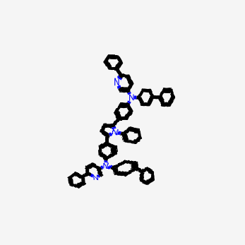 C1=CC(N(c2ccc(-c3ccc(-c4ccc(N(C5=CC=C(c6ccccc6)CC5)c5ccc(-c6ccccc6)nc5)cc4)n3-c3ccccc3)cc2)c2ccc(-c3ccccc3)nc2)CC=C1c1ccccc1